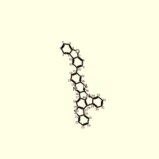 c1ccc2c(c1)oc1ccc(-c3ccc4nc5c6cc7sc8ccccc8c7c7c8ccccc8n(c5nc4c3)c67)cc12